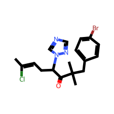 CC(Cl)=CCC(C(=O)C(C)(C)Cc1ccc(Br)cc1)n1cncn1